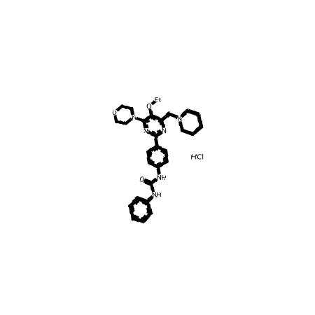 CCOc1c(CN2CCCCC2)nc(-c2ccc(NC(=O)Nc3ccccc3)cc2)nc1N1CCOCC1.Cl